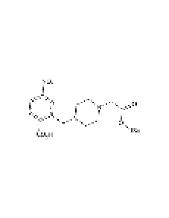 CC(C)(C)OC(=O)CN1CCN(Cc2cc([N+](=O)[O-])ccc2C(=O)O)CC1